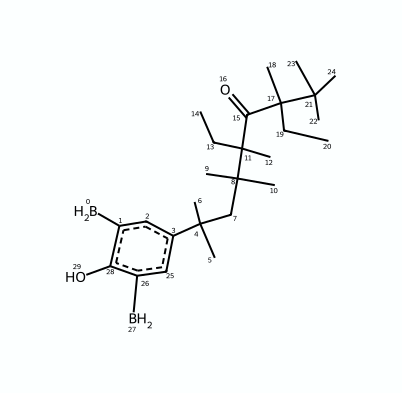 Bc1cc(C(C)(C)CC(C)(C)C(C)(CC)C(=O)C(C)(CC)C(C)(C)C)cc(B)c1O